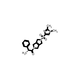 Cc1nc(S(=O)(=O)N2CC3=C(CN(C(=O)[C@H](C)c4ccccc4)C3)C2)cn1C